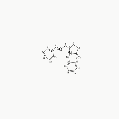 O=C1CCC(COCc2ccccc2)N1Cc1ccccc1